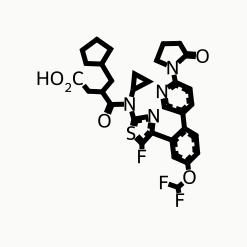 O=C(O)CC(CC1CCCC1)C(=O)N(c1nc(-c2cc(OC(F)F)ccc2-c2ccc(N3CCCC3=O)nc2)c(F)s1)C1CC1